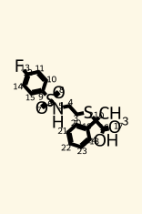 CC(SCCNS(=O)(=O)c1ccc(F)cc1)(C(=O)O)c1ccccc1